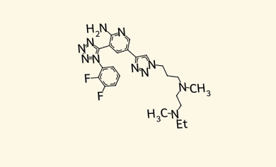 CCN(C)CCN(C)CCCn1cc(-c2cnc(N)c(-c3nnnn3-c3cccc(F)c3F)c2)nn1